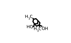 CC1CC2CC(C)(CO)CC(CO)(C1)C2